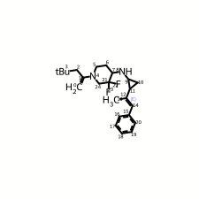 C=C(CC(C)(C)C)N1CCC(NC2CC2/C(C)=C/c2ccccc2)C(F)(F)C1